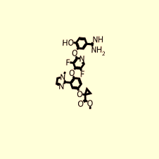 COC(=O)C1(Oc2ccc(Oc3c(F)cnc(Oc4cc(C(=N)N)ccc4O)c3F)c(C3N=CCN3C)c2)CC1